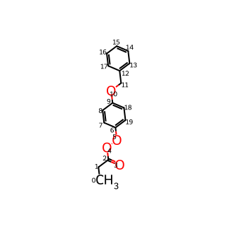 CCC(=O)OOc1ccc(OCc2ccccc2)cc1